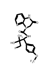 CC(O)(CF)C(NC(=O)N1CC(=O)Nc2cccnc21)c1ccc(OC(F)(F)F)cc1